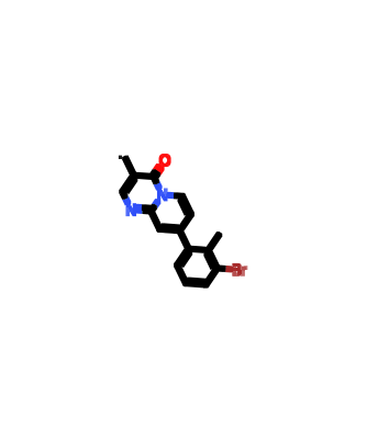 [CH2]c1cnc2cc(-c3cccc(Br)c3C)ccn2c1=O